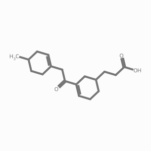 CC1CC=C(CC(=O)C2=CCCC(CCC(=O)O)C2)CC1